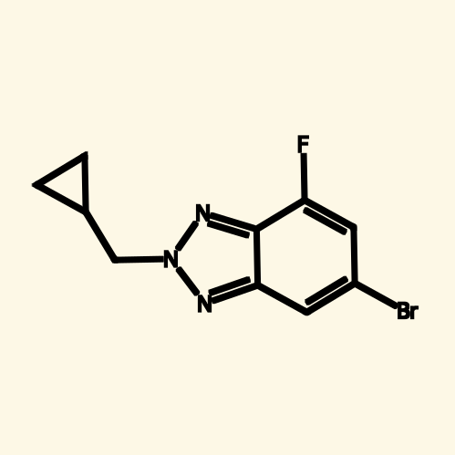 Fc1cc(Br)cc2nn(CC3CC3)nc12